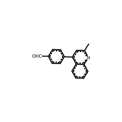 Cc1cc(-c2ccc(C=O)cc2)c2ccccc2n1